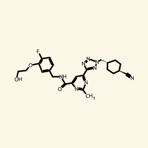 Cc1nc(C(=O)NCc2ccc(F)c(OCCO)c2)cc(-c2nnn(C[C@H]3CC[C@H](C#N)CC3)n2)n1